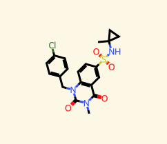 Cn1c(=O)c2cc(S(=O)(=O)NC3(C)CC3)ccc2n(Cc2ccc(Cl)cc2)c1=O